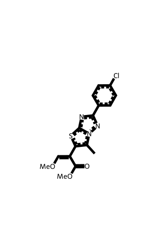 COC=C(C(=O)OC)c1sc2nc(-c3ccc(Cl)cc3)nn2c1C